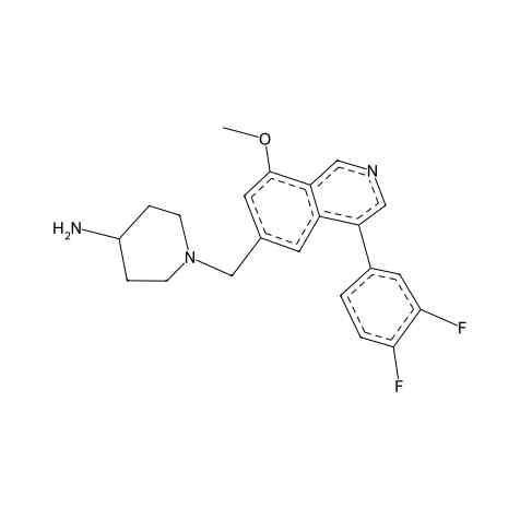 COc1cc(CN2CCC(N)CC2)cc2c(-c3ccc(F)c(F)c3)cncc12